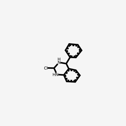 ClC1Nc2ccccc2C(c2ccccc2)N1